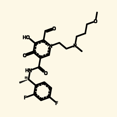 COCCCN(C)CCn1cc(C(=O)N[C@@H](C)c2ccc(F)cc2F)c(=O)c(O)c1C=O